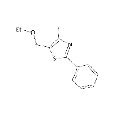 CCO[CH]c1sc(-c2ccccc2)nc1C